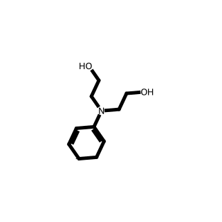 OCCN(CCO)C1=CC[CH]C=C1